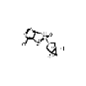 O=S(=O)(Nc1ncnc(Cl)c1Br)N1C[C@H]2C[C@H]2C1